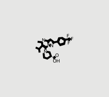 Cc1nc2cc(-c3ccc(C(F)(F)F)cc3)nn2c(N2CCC[C@@H](C(=O)O)C2)c1C(C)C